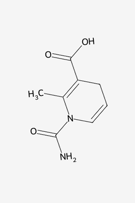 CC1=C(C(=O)O)CC=CN1C(N)=O